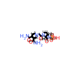 NC(=O)c1cc[n+](CC(=O)N2CC[C@@H]3[C@H]2C(=O)N3S(=O)(=O)O)cc1C(N)=O